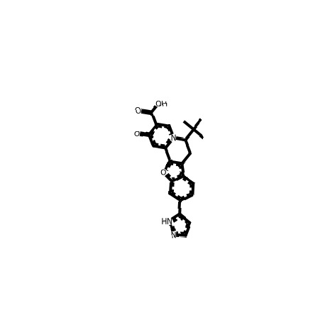 CC(C)(C)C1Cc2c(oc3cc(-c4ccn[nH]4)ccc23)-c2cc(=O)c(C(=O)O)cn21